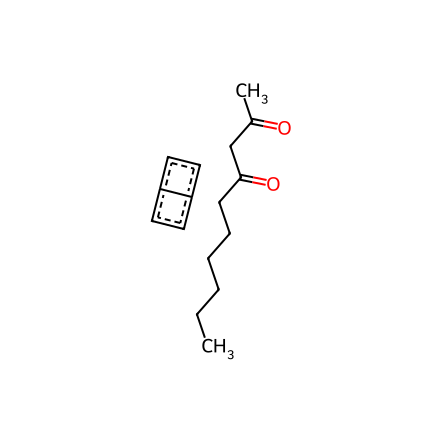 CCCCCCC(=O)CC(C)=O.c1cc2ccc1-2